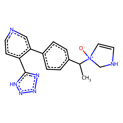 CC(c1ccc(-c2cnccc2-c2nnn[nH]2)cc1)[N+]1([O-])C=CNC1